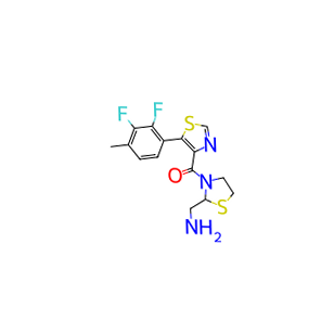 Cc1ccc(-c2scnc2C(=O)N2CCSC2CN)c(F)c1F